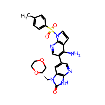 Cc1ccc(S(=O)(=O)n2ccc3c(N)c(-c4cnc5[nH]c(=O)n(C[C@H]6COCCO6)c5c4)cnc32)cc1